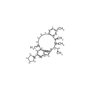 C=C1c2cc(C)ccc2CCCCN(C)c2cc(N3CCCC3)nc3cc(nn23)C(CC)N1C